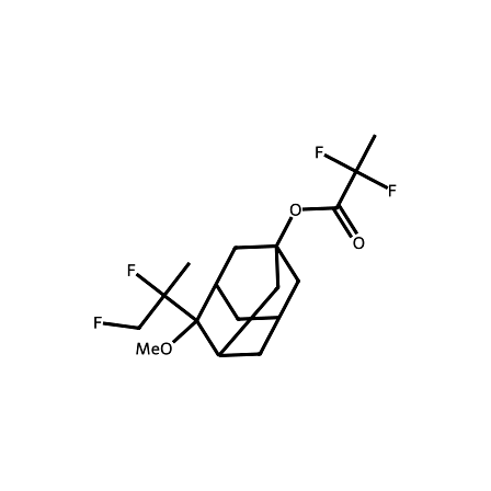 COC1(C(C)(F)CF)C2CC3CC1CC(OC(=O)C(C)(F)F)(C3)C2